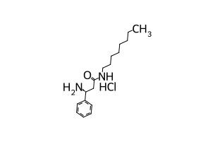 CCCCCCCCNC(=O)C[C@H](N)c1ccccc1.Cl